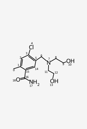 Cc1cc(Cl)c(CN(CCO)CCO)cc1C(N)=O